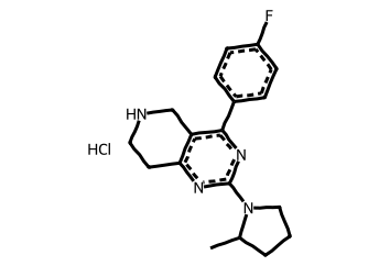 CC1CCCN1c1nc2c(c(-c3ccc(F)cc3)n1)CNCC2.Cl